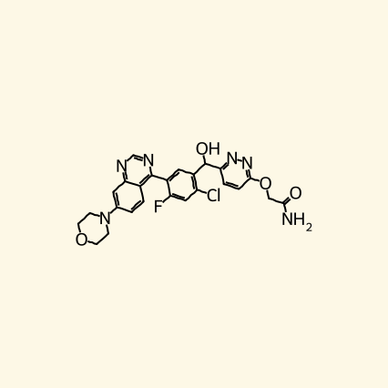 NC(=O)COc1ccc(C(O)c2cc(-c3ncnc4cc(N5CCOCC5)ccc34)c(F)cc2Cl)nn1